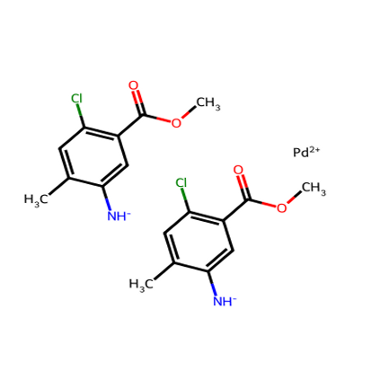 COC(=O)c1cc([NH-])c(C)cc1Cl.COC(=O)c1cc([NH-])c(C)cc1Cl.[Pd+2]